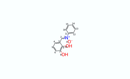 [O-][N+](=Cc1cccc(O)c1O)c1ccccc1